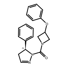 O=C(N1CC(Oc2ccccc2)C1)N1N=CC[C@H]1c1ccccc1